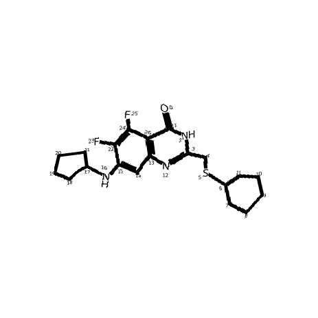 O=c1[nH]c(CSC2CCCCC2)nc2cc(NC3CCCC3)c(F)c(F)c12